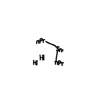 CC[CH2][Sn][CH2]CC.I.I